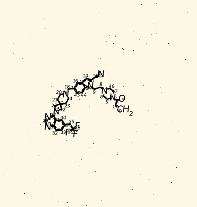 C=CC(=O)N1CCN(CCn2c(C#N)cc3cc(CN4CCC5(CC4)CN(c4ncnc6ccc(CC(F)(F)F)cc46)C5)ccc32)CC1